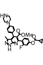 COC(=O)c1c(-c2ccc(OC(=O)C3CC3)cc2F)nc2[nH]nc(C)c2c1-c1ccc(N2CCNCC2)cc1